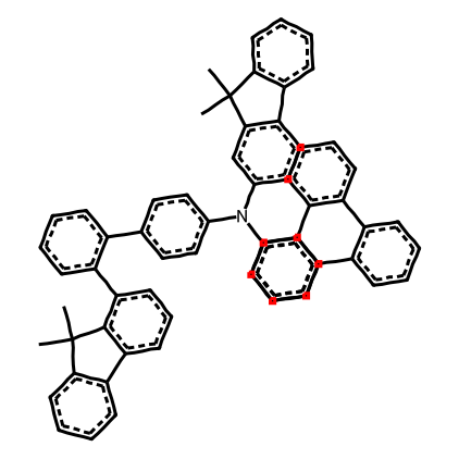 CC1(C)c2ccccc2-c2ccc(N(c3ccc(-c4ccccc4-c4cccc5c4C(C)(C)c4ccccc4-5)cc3)c3ccccc3-c3ccccc3-c3ccccc3-c3ccccc3)cc21